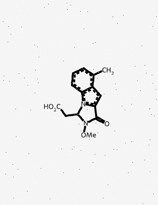 CON1C(=O)c2cc3c(C)cccc3n2C1CC(=O)O